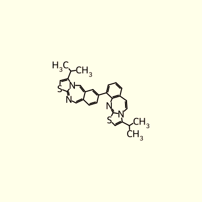 CC(C)C1=CSC2=NC=c3ccc(-c4cccc5c4N=C4SC=C(C(C)C)N4C=C5)cc3=CN12